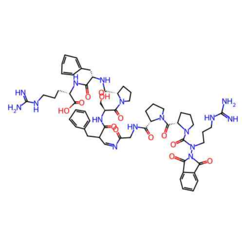 N=C(N)NCCC[C@H](NC(=O)[C@H](Cc1ccccc1)NC(=O)[C@@H]1CCCN1C(=O)[C@H](CO)NC(=O)C(/C=N\C(=O)CNC(=O)[C@@H]1CCCN1C(=O)[C@@H]1CCCN1C(=O)N(CCCNC(=N)N)N1C(=O)c2ccccc2C1=O)Cc1ccccc1)C(=O)O